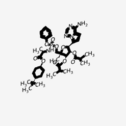 CC(C)C(=O)O[C@H]1[C@H](c2ccc3c(N)ncnn23)O[C@](C)(CO[P@@](=O)(N[C@@H](C)C(=O)O[C@H]2CC[C@H](C(C)(C)C)CC2)Oc2ccccc2)[C@H]1OC(=O)C(C)C